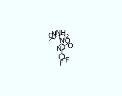 COC(=O)c1cc(-c2ccc(F)c(F)c2)ncc1N1CCCC(N)(c2cc(C)on2)C1